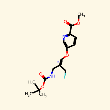 COC(=O)c1ccc(O/C=C(\CF)CNC(=O)OC(C)(C)C)cn1